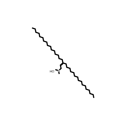 CCCCCCCCCCCCCCCCC(=CCN(C)C)CCCCCCCCCCCCCCCC.Cl